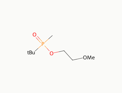 COCCOP(C)(=O)C(C)(C)C